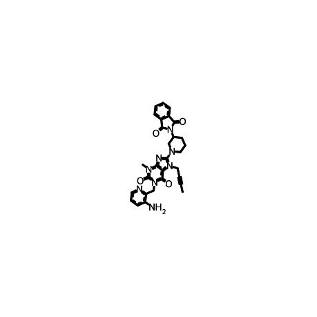 CC#CCn1c(N2CCCC(N3C(=O)c4ccccc4C3=O)C2)nc2c1c(=O)n(Cc1ncccc1N)c(=O)n2C